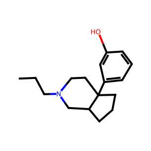 CCCN1CCC2(c3cccc(O)c3)CCCC2C1